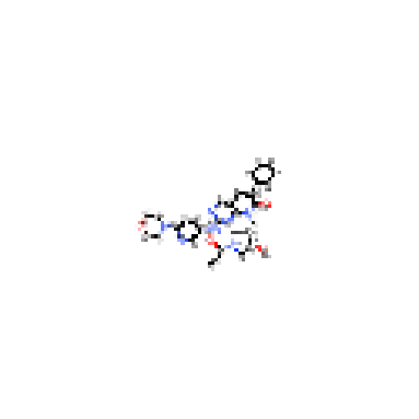 C=CC(=O)N1C[C@H](Cn2c(=O)c(-c3ccccc3)cc3cnc(Nc4ccc(N5CCOCC5)nc4)nc32)[C@@H](OC)C1